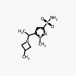 CC1CN(C(C)c2cc(S(N)(=O)=O)nn2C)C1